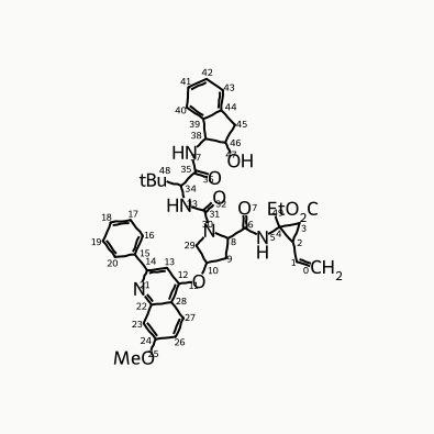 C=CC1CC1(NC(=O)C1CC(Oc2cc(-c3ccccc3)nc3cc(OC)ccc23)CN1C(=O)NC(C(=O)NC1c2ccccc2CC1O)C(C)(C)C)C(=O)OCC